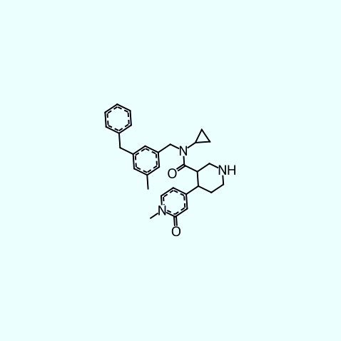 Cc1cc(Cc2ccccc2)cc(CN(C(=O)C2CNCCC2c2ccn(C)c(=O)c2)C2CC2)c1